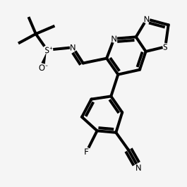 CC(C)(C)[S@+]([O-])N=Cc1nc2ncsc2cc1-c1ccc(F)c(C#N)c1